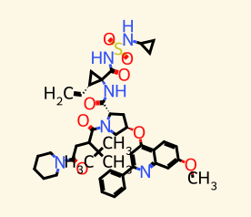 C=C[C@@H]1C[C@]1(NC(=O)[C@@H]1C[C@@H](Oc2cc(-c3ccccc3)nc3cc(OC)ccc23)CN1C(=O)C(CC(=O)N1CCCCC1)C(C)(C)C)C(=O)NS(=O)(=O)NC1CC1